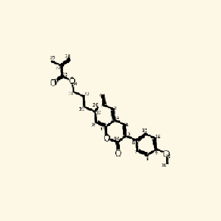 C=C/C=c1/cc(-c2ccc(OC)cc2)c(=O)o/c1=C/C(C)CCCOC(=O)C(=C)C